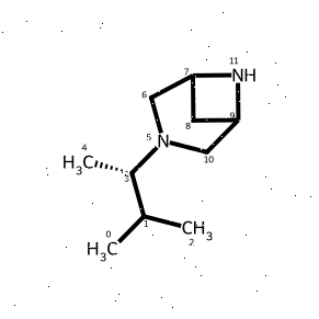 CC(C)[C@H](C)N1CC2CC(C1)N2